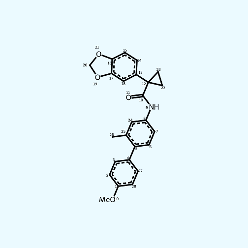 COc1ccc(-c2ccc(NC(=O)C3(c4ccc5c(c4)OCO5)CC3)cc2C)cc1